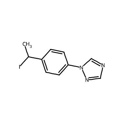 CC(I)c1ccc(-n2cncn2)cc1